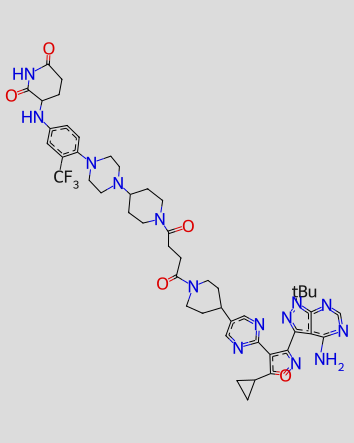 CC(C)(C)n1nc(-c2noc(C3CC3)c2-c2ncc(C3CCN(C(=O)CCC(=O)N4CCC(N5CCN(c6ccc(NC7CCC(=O)NC7=O)cc6C(F)(F)F)CC5)CC4)CC3)cn2)c2c(N)ncnc21